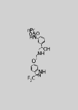 CCCS(=O)(=O)Nc1cccc([C@@H](O)CNCCOc2ccc3c(C(F)(F)F)n[nH]c3c2)c1